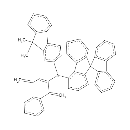 C=C/C=C(\C(=C)c1ccccc1)N(c1ccc2c(c1)C(C)(C)c1ccccc1-2)c1cccc2c1-c1ccccc1C21c2ccccc2-c2ccccc21